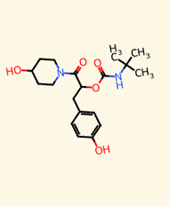 CC(C)(C)NC(=O)OC(Cc1ccc(O)cc1)C(=O)N1CCC(O)CC1